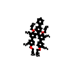 C#CCOc1ccc(-c2cc(C)c(OCC#C)c(C(c3ccc(-c4ccccc4)cc3)c3cc(-c4ccc(OCC#C)c(C)c4)cc(C)c3OCC#C)c2)cc1C